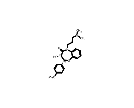 COc1ccc([C@H]2Sc3ccccc3N(CCCN(C)C)C(=O)[C@H]2O)cc1